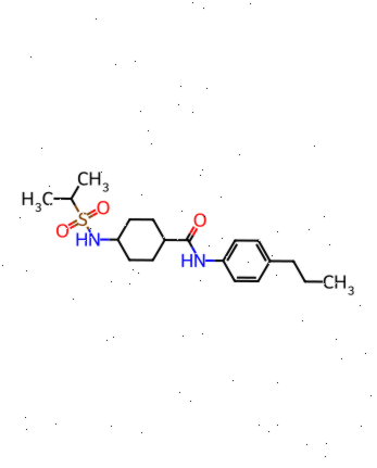 CCCc1ccc(NC(=O)C2CCC(NS(=O)(=O)C(C)C)CC2)cc1